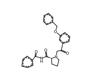 O=C(CN1CCC[C@H]1C(=O)NC(=O)c1ccccc1)c1cccc(OCc2ccccc2)c1